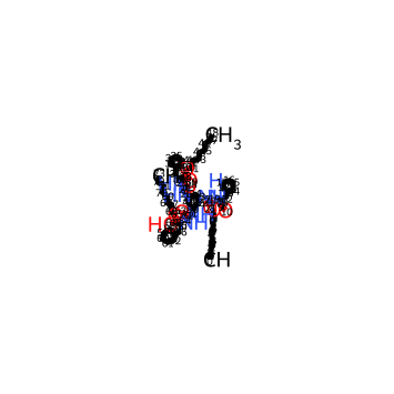 C#CC#CC#CC#COC(=O)[C@H](Cc1ccccc1)NC(=O)Nc1cc(NC(=O)N[C@@H](Cc2ccccc2)C(=O)OCCCCCCCC)cc(NC(=O)N[C@@H](Cc2ccccc2)C(O)OCCCCCCCC)c1